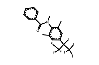 Cc1cc(C(F)(C(F)(F)F)C(F)(F)F)cc(C)c1N(C)C(=O)c1ccccc1